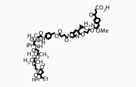 CCCC(CC)C1CC(=O)N(CCOC(C)(C)COC(C)(C)CC(=O)N[C@H](C(=O)N[C@@H](C)C(=O)Nc2ccc(COC(=O)CCC(=O)N3Cc4cc(C5CC5C)c(OCCCOc5nc6c(cc5OC)CCC(C(=O)CCC(=O)O)=C6)nc4C3)cc2)C(C)C)C1=O